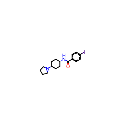 O=C(N[C@H]1CC[C@H](N2CCCC2)CC1)c1ccc(I)cc1